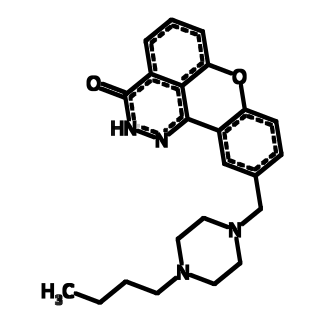 CCCCN1CCN(Cc2ccc3c(c2)-c2n[nH]c(=O)c4cccc(c24)O3)CC1